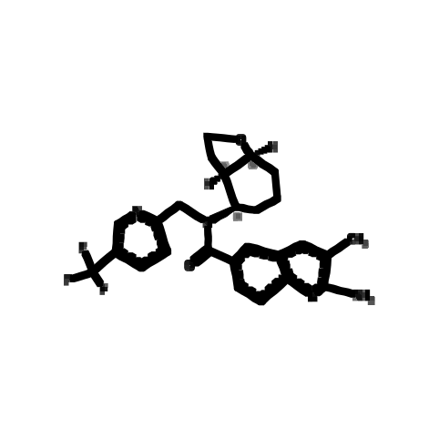 Cc1cc2cc(C(=O)N(Cc3ccc(C(F)(F)F)cn3)[C@@H]3CCC[C@@H]4OCC[C@@H]43)ccc2nc1N